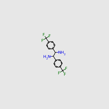 NC(c1ccc(C(F)(F)F)cc1)C(N)c1ccc(C(F)(F)F)cc1